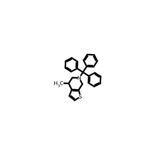 CC1CN(C(c2ccccc2)(c2ccccc2)c2ccccc2)Cc2sccc21